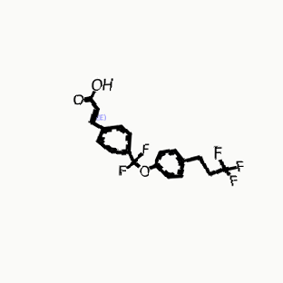 O=C(O)/C=C/c1ccc(C(F)(F)Oc2ccc(CCC(F)(F)F)cc2)cc1